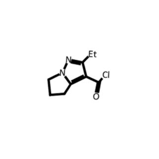 CCc1nn2c(c1C(=O)Cl)CCC2